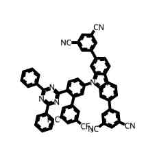 N#Cc1cc(C#N)cc(-c2ccc3c4ccc(-c5cc(C#N)cc(C#N)c5)cc4n(-c4ccc(-c5nc(-c6ccccc6)nc(-c6ccccc6)n5)c(-c5cc(C(F)(F)F)cc(C(F)(F)F)c5)c4)c3c2)c1